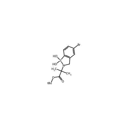 CC(C)(C)OC(=O)C(C)(C)N1Cc2cc(Br)ccc2S1(O)O